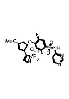 CO[C@@H]1C[C@H](c2ccnn2C)[C@](C)(Oc2cc(F)c(S(=O)(=O)Nc3ccncn3)cc2F)C1